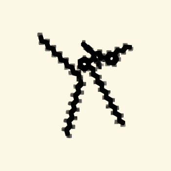 CC#CC1=C(c2ccccc2CCCC=CCCCCCCCCCC)[N+](=[N-])C(c2cccc(CCCC)c2)=C1.CCCCCCCCCCCC=[CH][Ni][CH]=CCCCCCCCCCCC